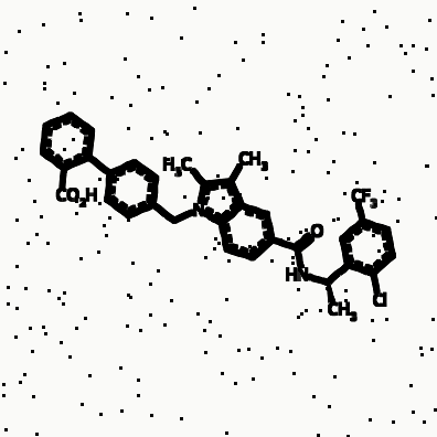 Cc1c(C)n(Cc2ccc(-c3ccccc3C(=O)O)cc2)c2ccc(C(=O)N[C@H](C)c3cc(C(F)(F)F)ccc3Cl)cc12